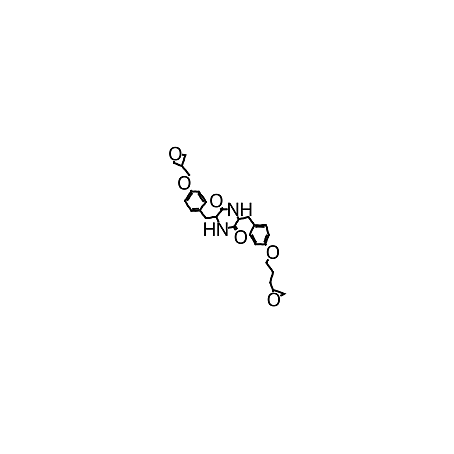 O=C1NC(Cc2ccc(OCC3COC3)cc2)C(=O)NC1Cc1ccc(OCCCC2CO2)cc1